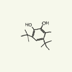 Cc1c(C(C)(C)C)cc(C(C)(C)C)c(O)c1O